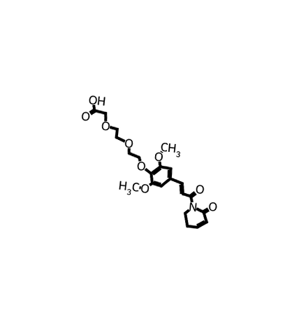 COc1cc(C=CC(=O)N2CCC=CC2=O)cc(OC)c1OCCOCCOCC(=O)O